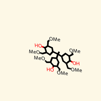 COCC1CC(C(C)(C2CC(COC)C(O)C(COC)C2)C2CC(COC)C(O)C(COC)C2)CC(COC)C1O